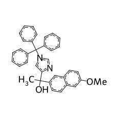 COc1ccc2cc(C(C)(O)c3cn(C(c4ccccc4)(c4ccccc4)c4ccccc4)cn3)ccc2c1